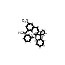 O=[N+]([O-])c1cc2c(c(CO)c1)OC1(C=C2)N(c2ccccc2)c2ccccc2C12CCCCC2